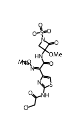 CON=C(C(=O)NC1(OC)CN(S(=O)(=O)[O-])C1=O)c1csc(NC(=O)CCl)n1.[Na+]